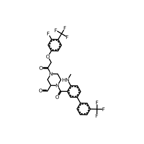 CNc1ccc(-c2cccc(C(F)(F)F)c2)cc1C(=O)N1CCN(C(=O)COc2ccc(C(F)(F)F)c(F)c2)CC1C=O